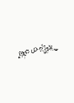 COC(=O)N[C@H](C(=O)N1[C@@H]2C[C@H]2C[C@H]1c1nc(-c2ccc3cc(-c4ccc5nc(C6CC7CC7N6C(=O)O)[nH]c5c4)ccc3c2)c[nH]1)C(C)C